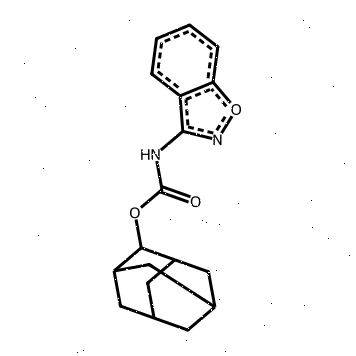 O=C(Nc1noc2ccccc12)OC1C2CC3CC(C2)CC1C3